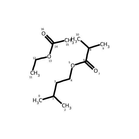 CC(C)CCOC(=O)C(C)C.CCOC(C)=O